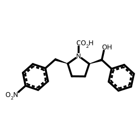 O=C(O)N1[C@H](Cc2ccc([N+](=O)[O-])cc2)CC[C@@H]1C(O)c1ccccc1